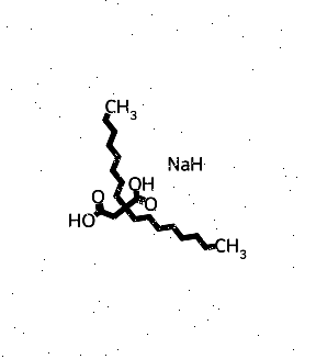 CCCCCCCCC(CCCCCCCC)(CC(=O)O)C(=O)O.[NaH]